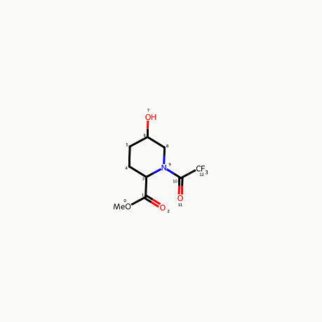 COC(=O)C1CCC(O)CN1C(=O)C(F)(F)F